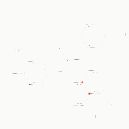 O=C(C(c1ccc(O)cc1)c1ccc(O)c(O)c1)C(c1ccc(O)cc1)c1ccc(O)c(O)c1